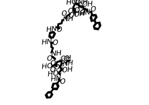 CC(=O)N[C@H]1[C@H]([C@H](O)[C@H](O)CNC(=O)c2ccc(-c3ccccc3)cc2)O[C@@](OCC(=O)NCCCC(=O)Nc2ccc(NC(=O)CCCNC(=O)CO[C@]3(C(=O)O)C[C@H](O)[C@@H](NC(C)=O)[C@H]([C@H](O)[C@H](O)CNC(=O)c4ccc(-c5ccccc5)cc4)O3)cc2)(C(=O)O)C[C@@H]1O